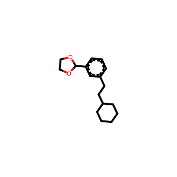 c1cc(CCC2CCCCC2)cc(C2OCCO2)c1